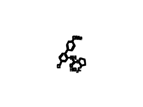 COc1ccc(-c2ccc(Cl)cc2NC(=O)N2CCCC2C(=O)O)cc1